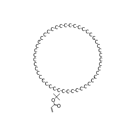 C1CCCCCCCCCCCCCCCCCCCCCCCCCCCCCCCCCCCCCCCCCCCC1.C=CC(=O)OC(C)(C)C